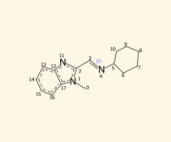 Cn1c(/C=N/C2CCCCC2)nc2ccccc21